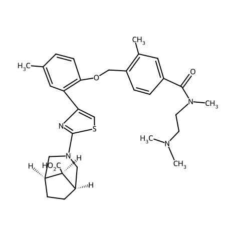 Cc1ccc(OCc2ccc(C(=O)N(C)CCN(C)C)cc2C)c(-c2csc(N3C[C@H]4CC[C@@H](C3)[C@H]4C(=O)O)n2)c1